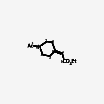 CCOC(=O)C=C1CCN(C(C)=O)CC1